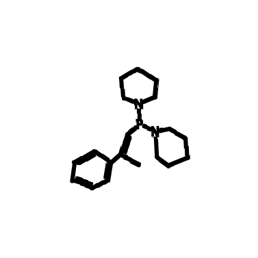 CC(=CP(N1CCCCC1)N1CCCCC1)c1ccccc1